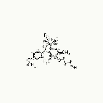 COc1ccc(COC(c2cc(C)c(OCCCO)c(C)c2)(C(F)(F)F)C(F)(F)F)cc1